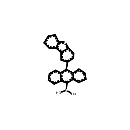 OB(O)c1c2ccccc2c(-c2ccc3oc4ccccc4c3c2)c2ccccc12